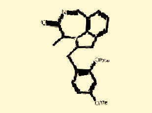 COc1ccc(CC2Cc3cccc4c3N2C(C)C(=O)N=C4)c(OC)c1